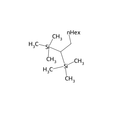 CCCCCCCC([Si](C)(C)C)[Si](C)(C)C